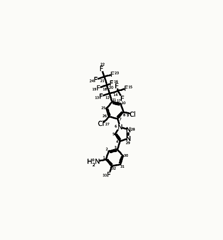 Nc1cc(-c2cn(-c3c(Cl)cc(C(F)(C(F)(F)F)C(F)(F)C(F)(F)F)cc3Cl)nn2)ccc1F